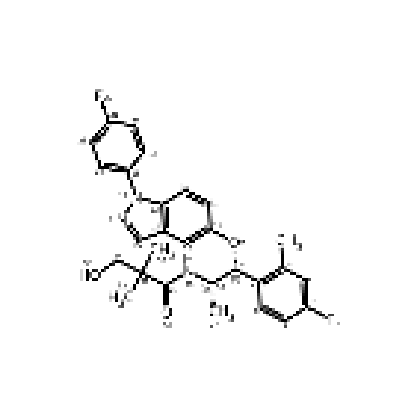 Cc1cc(F)ccc1[C@@H](Oc1ccc2c(cnn2-c2ccc(F)cc2)c1)[C@H](C)NC(=O)C(C)(C)CO